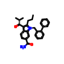 CCCc1c(C(=O)C(C)C)c2ccc(C(N)=O)cc2n1Cc1ccccc1-c1ccccc1